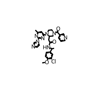 COc1ccc(C(C)NC(=O)CC2CN(C(=O)c3cccnc3)CCN2c2cc(C)nc(-n3ccnc3)n2)cc1Cl